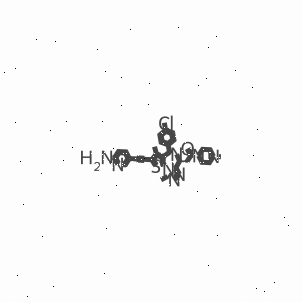 Cc1c(C#Cc2ccc(N)nc2)sc2c1C(c1ccc(Cl)cc1)=N[C@@H](CC(=O)N1CCN(C)CC1)c1nnc(C)n1-2